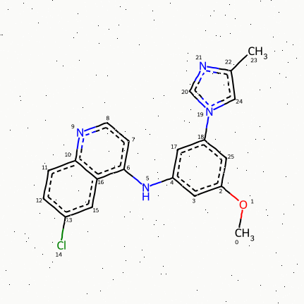 COc1cc(Nc2ccnc3ccc(Cl)cc23)cc(-n2cnc(C)c2)c1